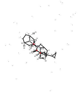 O=C(N[C@H]1C[C@H]2CC[C@@H](C1)N2S(=O)(=O)N1CC2CC[C@@H](C2)C1)c1cc(C2CC2)on1